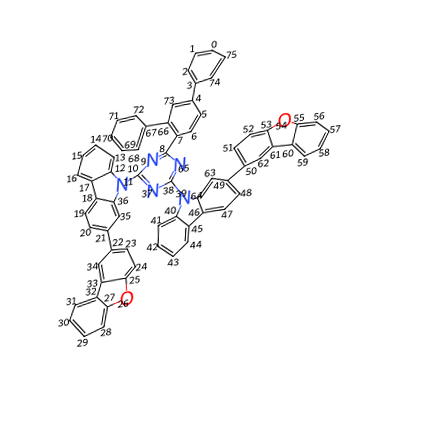 c1ccc(-c2ccc(-c3nc(-n4c5ccccc5c5ccc(-c6ccc7oc8ccccc8c7c6)cc54)nc(-n4c5ccccc5c5ccc(-c6ccc7oc8ccccc8c7c6)cc54)n3)c(-c3ccccc3)c2)cc1